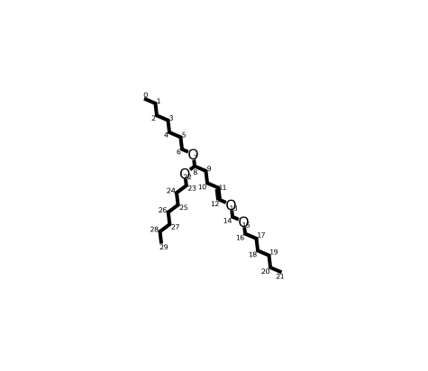 CCCCCCCOC(CCC=COCOCCCCCC)OCCCCCCC